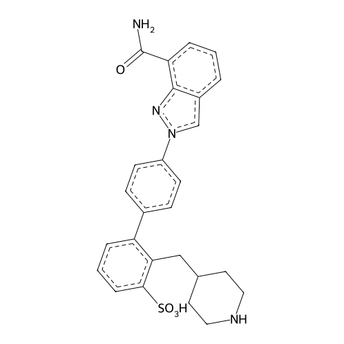 NC(=O)c1cccc2cn(-c3ccc(-c4cccc(S(=O)(=O)O)c4CC4CCNCC4)cc3)nc12